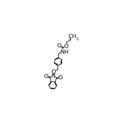 C=CCOC(=O)NCc1ccc(CON2C(=O)c3ccccc3C2=O)cc1